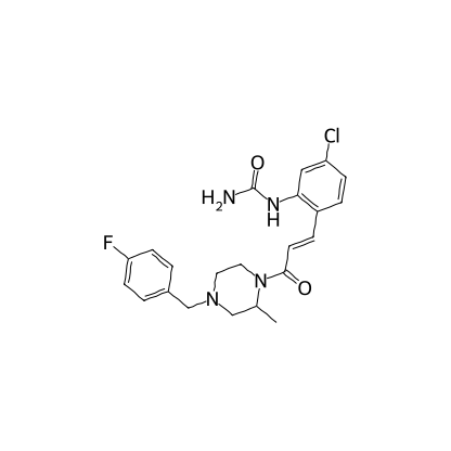 CC1CN(Cc2ccc(F)cc2)CCN1C(=O)C=Cc1ccc(Cl)cc1NC(N)=O